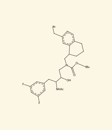 CC(=O)NC(Cc1cc(F)cc(F)c1)C(O)CN(CC1CCCc2ccc(CC(C)C)cc21)C(=O)OC(C)(C)C